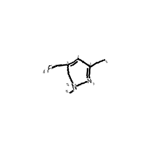 Cc1[c]c(F)n(C)n1